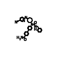 N#Cc1ccc(/N=C2/CCCC(N(C(=O)NCc3ccccc3)c3ccc(-c4ccc(C(N)=O)cc4)cc3)CC2)nc1